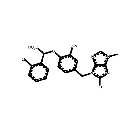 CCCc1cc(Cn2c(CC)nc3c2ncn3C)ccc1OC(C(=O)O)c1ccccc1Cl